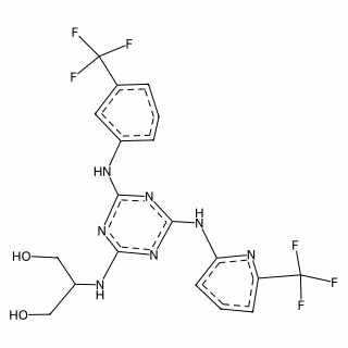 OCC(CO)Nc1nc(Nc2cccc(C(F)(F)F)c2)nc(Nc2cccc(C(F)(F)F)n2)n1